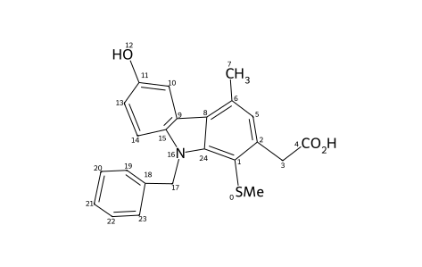 CSc1c(CC(=O)O)cc(C)c2c3cc(O)ccc3n(Cc3ccccc3)c12